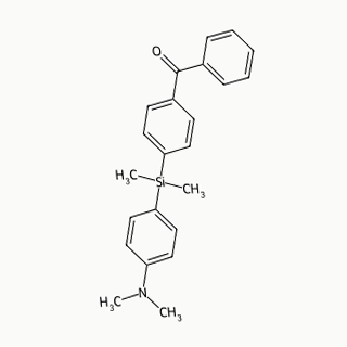 CN(C)c1ccc([Si](C)(C)c2ccc(C(=O)c3ccccc3)cc2)cc1